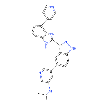 CC(C)Nc1cncc(-c2ccc3[nH]nc(-c4nc5c(-c6ccncc6)cccc5[nH]4)c3c2)c1